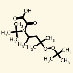 CC(CC(C)(C)OOC(C)(C)C)N(C(=O)C(=O)O)C(C)(C)C